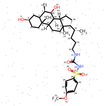 CC[C@@H]1C2C[C@H](O)CCC2(C)[C@H]2CCC3(C)[C@@H]([C@H](C)CCCNC(=O)NS(=O)(=O)c4ccc(OC(F)(F)F)cc4)CC[C@H]3[C@@H]2[C@@H]1O